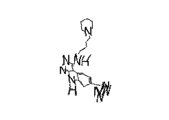 Cn1nnc(-c2ccc3c(c2)[nH]c2ncnc(NCCCCN4CCCCC4)c23)n1